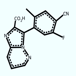 Cc1cc(C#N)c(F)cc1-c1c(C(=O)O)nc2cccnn12